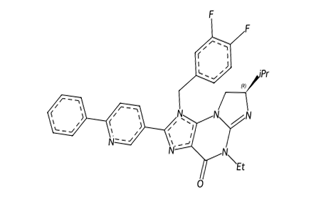 CCN1C(=O)c2nc(-c3ccc(-c4ccccc4)nc3)n(Cc3ccc(F)c(F)c3)c2N2C[C@@H](C(C)C)N=C12